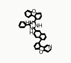 c1ccc(C2NC(c3ccc4c(-c5cccc6oc7ccncc7c56)cccc4c3)NC(c3cccc4oc5ccccc5c34)N2)cc1